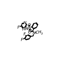 CN(Cc1ccc(F)c(F)c1)C(=O)c1ccccc1S(=O)(=O)Nc1cncc(F)c1